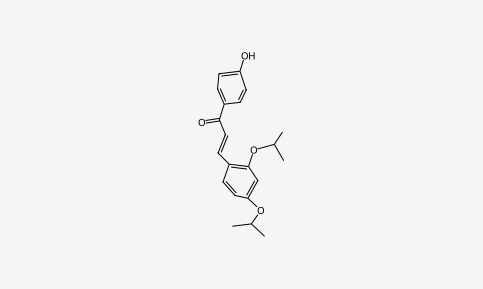 CC(C)Oc1ccc(C=CC(=O)c2ccc(O)cc2)c(OC(C)C)c1